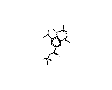 CC(=O)N(C)c1c(N(C)C)cc(C(=O)CS(C)(=O)=O)cc1N(C)C